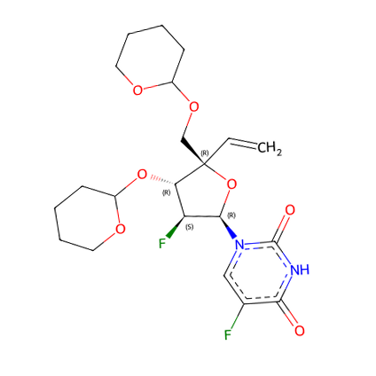 C=C[C@]1(COC2CCCCO2)O[C@@H](n2cc(F)c(=O)[nH]c2=O)[C@@H](F)[C@@H]1OC1CCCCO1